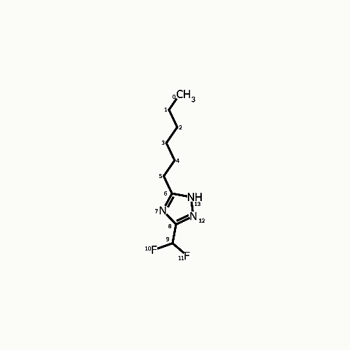 CCCCCCc1nc(C(F)F)n[nH]1